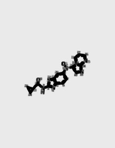 O=C(Nc1nc2ccc([S+]([O-])c3cnc4ncccn34)cc2s1)C1CC1